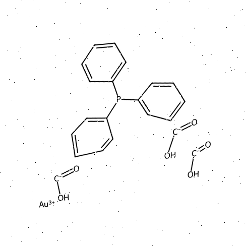 O=[C-]O.O=[C-]O.O=[C-]O.[Au+3].c1ccc(P(c2ccccc2)c2ccccc2)cc1